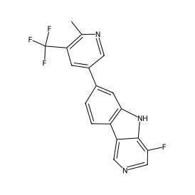 Cc1ncc(-c2ccc3c(c2)[nH]c2c(F)cncc23)cc1C(F)(F)F